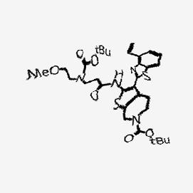 C=Cc1cccc2sc(-c3c(NC(=O)CCN(CCOC)C(=O)OC(C)(C)C)sc4c3CCN(C(=O)OC(C)(C)C)C4)nc12